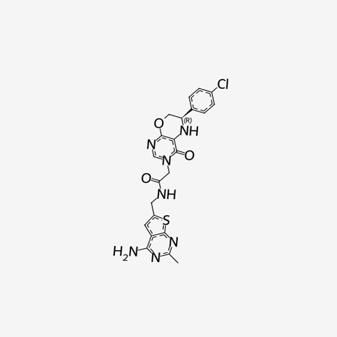 Cc1nc(N)c2cc(CNC(=O)Cn3cnc4c(c3=O)N[C@H](c3ccc(Cl)cc3)CO4)sc2n1